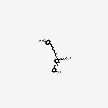 COc1ccc(CCCCCCCCOc2ccc(OCc3cccc(O)c3)nc2C=CC(=O)O)cc1